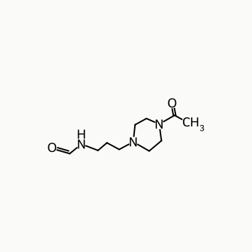 CC(=O)N1CCN(CCCNC=O)CC1